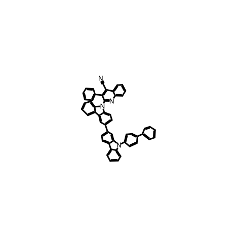 N#Cc1c(-c2ccccc2)c(-n2c3ccccc3c3cc(-c4ccc5c6ccccc6n(-c6ccc(-c7ccccc7)cc6)c5c4)ccc32)nc2ccccc12